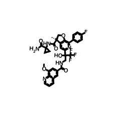 COc1cc(C(=O)NCC(O)(c2cc3c(c(-c4ccc(F)cc4)n2)OC[C@]3(C)C(=O)NC2(C(N)=O)CC2)C(F)(F)F)cc2cccnc12